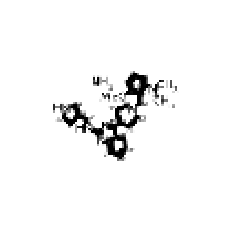 COc1cccc(N(C)C)c1CN1CCC(c2nc(NCC3CCNC3)nc3ccccc23)CC1.N